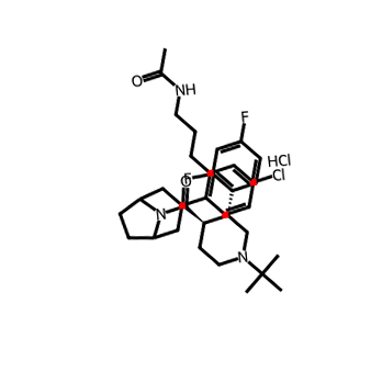 CC(=O)NCCCc1cc(Cl)ccc1C1CC2CCC(C1)N2C(=O)[C@@H]1CCN(C(C)(C)C)C[C@H]1c1ccc(F)cc1F.Cl